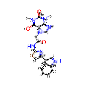 Cn1c(=O)c2c(ncn2CC(=O)Nc2nc(-c3c[nH]c4ccccc34)cs2)n(C)c1=O